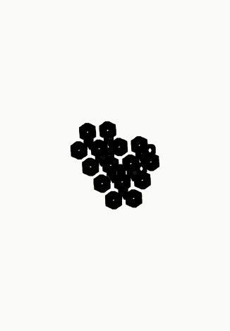 c1ccc(N(c2ccccc2)c2cc3c4c(c2)N(c2ccccc2)c2cc5c(cc2B4c2ccccc2N3c2ccccc2)B2c3ccc4c(c3N(c3ccccc3)c3cc(N(c6ccccc6)c6ccccc6)cc(c32)N5c2ccccc2)Oc2cccc3c2N4c2ccccc2O3)cc1